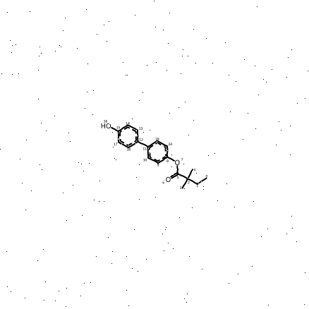 CCC(C)(C)C(=O)Oc1ccc(-c2ccc(O)cc2)cc1